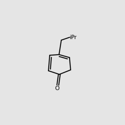 CC(C)CC1=CCC(=O)C=C1